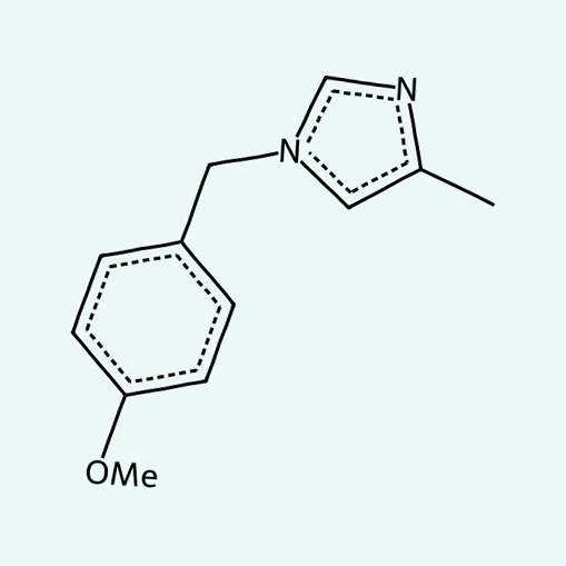 COc1ccc(Cn2cnc(C)c2)cc1